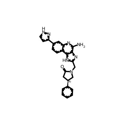 Nc1nc2cc(-c3cc[nH]n3)ccc2c2[nH]c(CN3C[C@@H](c4ccccc4)CC3=O)nc12